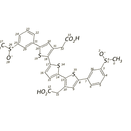 C[S+]([O-])c1cccc(-c2cc(CC(=O)O)c(-c3ccc(-c4sc(-c5cccc([S+](C)[O-])c5)cc4CC(=O)O)s3)s2)c1